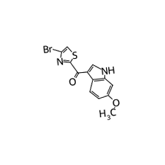 COc1ccc2c(C(=O)c3nc(Br)cs3)c[nH]c2c1